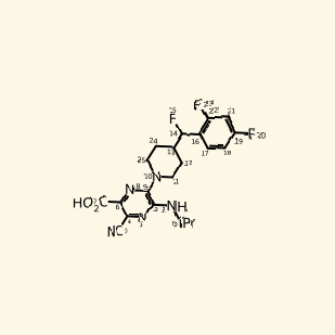 CC(C)Nc1nc(C#N)c(C(=O)O)nc1N1CCC(C(F)c2ccc(F)cc2F)CC1